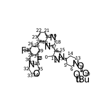 Cc1nn(C2CCN(OC(=O)OC(C)(C)C)CC2)cc1-c1cnc2cccc(-c3cc(F)c(CN4CCOCC4)c(F)c3)c2n1